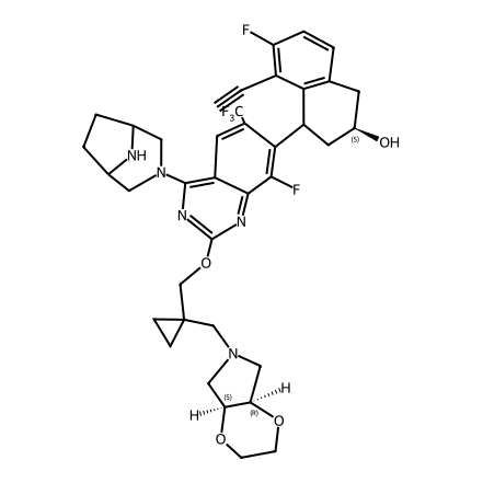 C#Cc1c(F)ccc2c1C(c1c(C(F)(F)F)cc3c(N4CC5CCC(C4)N5)nc(OCC4(CN5C[C@@H]6OCCO[C@@H]6C5)CC4)nc3c1F)C[C@H](O)C2